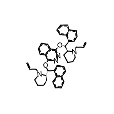 C=CCN1CCCC[C@H]1C(Oc1nnc(OC(c2cccc3ccccc23)[C@@H]2CCCCN2CC=C)c2ccccc12)c1cccc2ccccc12